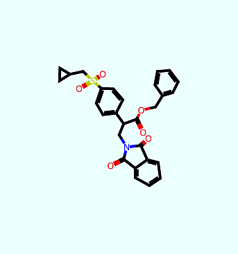 O=C(OCc1ccccc1)C(CN1C(=O)c2ccccc2C1=O)c1ccc(S(=O)(=O)CC2CC2)cc1